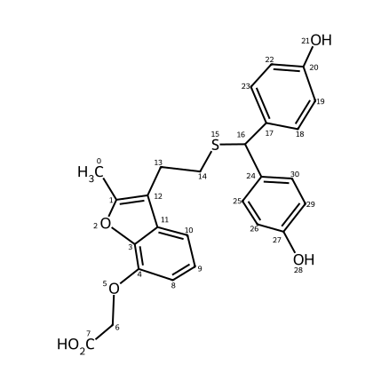 Cc1oc2c(OCC(=O)O)cccc2c1CCSC(c1ccc(O)cc1)c1ccc(O)cc1